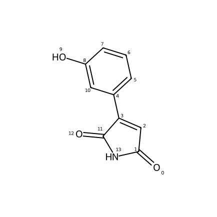 O=C1C=C(c2cccc(O)c2)C(=O)N1